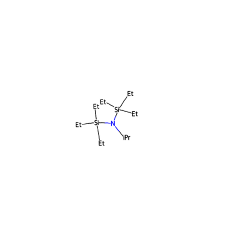 CC[Si](CC)(CC)N(C(C)C)[Si](CC)(CC)CC